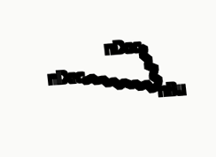 [CH2]CCCC(CCCCCCCCCCCCCCCCC)CCCCCCCCCCCCCCCCCCCCCCC